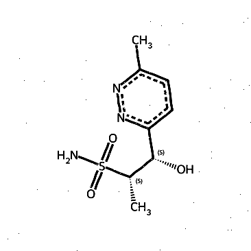 Cc1ccc([C@H](O)[C@H](C)S(N)(=O)=O)nn1